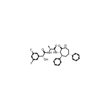 C[C@H](NC(=O)[C@H](O)c1cc(F)cc(F)c1)C(=O)N[C@@H]1C(=O)NC[C@H](c2ccccc2)C[C@H]1c1ccccc1